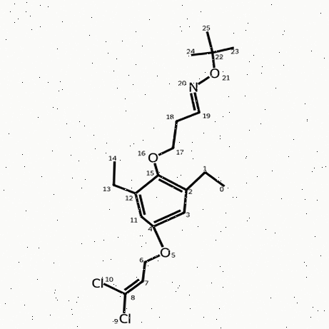 CCc1cc(OCC=C(Cl)Cl)cc(CC)c1OCCC=NOC(C)(C)C